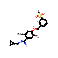 CNc1cc(OCc2cccc(S(C)(=O)=O)c2)c(Br)cc1C(=N)NCC1CC1